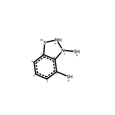 Sc1cccc2c1N(S)NS2